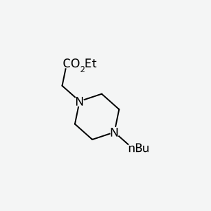 CCCCN1CCN(CC(=O)OCC)CC1